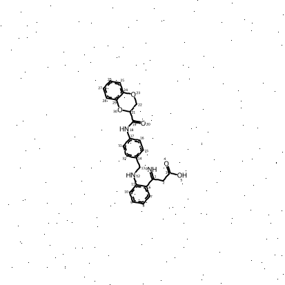 N=C(CC(=O)O)c1ccccc1NCc1ccc(NC(=O)C2COc3ccccc3O2)cc1